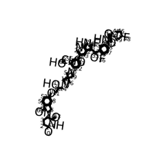 O=C1CC[C@@H](N2Cc3cc(OC[C@H](O)CN4CC5(C4)CN(c4ccc(-c6cnc7[nH]cc(C(=O)c8c(F)ccc(NS(=O)(=O)N9CC[C@@H](F)C9)c8F)c7c6)cc4)C5)ccc3C2=O)C(=O)N1.O=CO